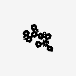 c1ccc(-c2nc(-c3ccccc3)nc(-c3cccc4oc5cc(-c6cc(-c7cccc8sc9ccccc9c78)cc7c6sc6ccccc67)ccc5c34)n2)cc1